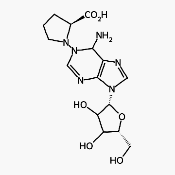 NC1c2ncn([C@@H]3O[C@H](CO)C(O)C3O)c2N=CN1N1CCC[C@H]1C(=O)O